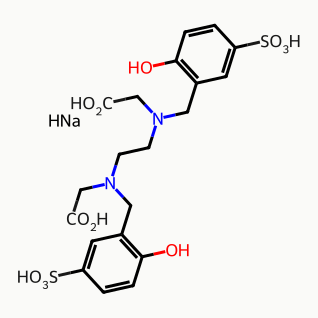 O=C(O)CN(CCN(CC(=O)O)Cc1cc(S(=O)(=O)O)ccc1O)Cc1cc(S(=O)(=O)O)ccc1O.[NaH]